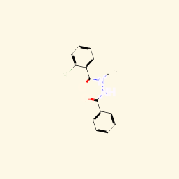 CC(C)N(NC(=O)c1ccccc1)C(=O)c1ccccc1Br